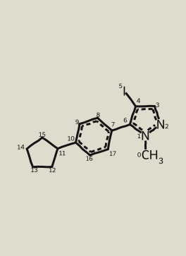 Cn1ncc(I)c1-c1ccc(C2CCCC2)cc1